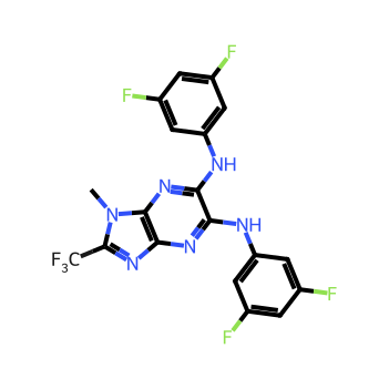 Cn1c(C(F)(F)F)nc2nc(Nc3cc(F)cc(F)c3)c(Nc3cc(F)cc(F)c3)nc21